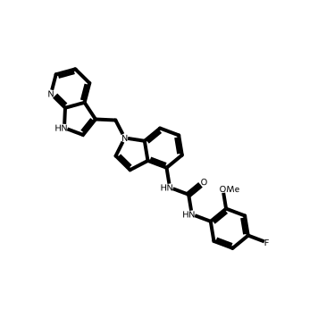 COc1cc(F)ccc1NC(=O)Nc1cccc2c1ccn2Cc1c[nH]c2ncccc12